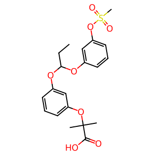 CCC(Oc1cccc(OC(C)(C)C(=O)O)c1)Oc1cccc(OS(C)(=O)=O)c1